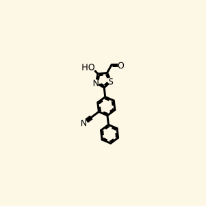 N#Cc1cc(-c2nc(O)c(C=O)s2)ccc1-c1ccccc1